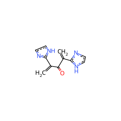 C=C(C(=O)C(=C)c1ncc[nH]1)c1ncc[nH]1